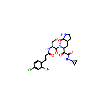 CC(C)(C)C[C@H](NC(=O)/C=C/c1ccc(Cl)cc1C#N)C(=O)NC(C[C@@H]1CCNC1=O)C(=O)C(=O)NC1CC1